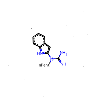 CCCCCN(C(=N)N)c1cc2ccccc2[nH]1